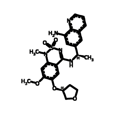 COc1cc2c(cc1O[C@H]1CCOC1)C(N[C@H](C)c1cc(N)c3ncccc3c1)=NS(=O)(=O)N2C